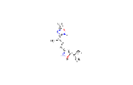 Cc1nc(C(C)CCc2cc(C(C)C)on2)no1